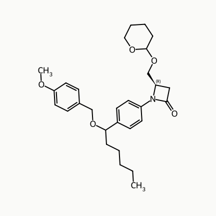 CCCCCC(OCc1ccc(OC)cc1)c1ccc(N2C(=O)C[C@@H]2COC2CCCCO2)cc1